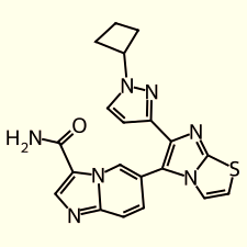 NC(=O)c1cnc2ccc(-c3c(-c4ccn(C5CCC5)n4)nc4sccn34)cn12